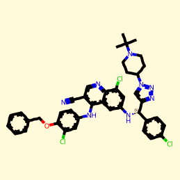 CC(C)(C)N1CCC(n2cc([C@@H](Nc3cc(Cl)c4ncc(C#N)c(Nc5ccc(OCc6ccccc6)c(Cl)c5)c4c3)c3ccc(Cl)cc3)nn2)CC1